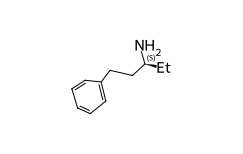 CC[C@H](N)CCc1ccccc1